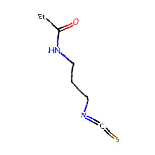 CCC(=O)NCCCN=C=S